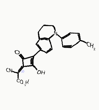 [C-]#[N+]/C(C(=O)O)=C1\C(=O)C(c2ccc3c(c2)CCCN3c2ccc(C)cc2)=C1O